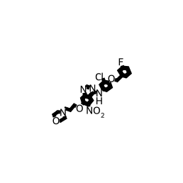 O=[N+]([O-])c1cc2c(Nc3ccc(OCc4cccc(F)c4)c(Cl)c3)ncnc2cc1OCCCN1CCOCC1